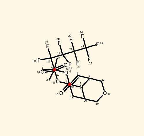 CC(C)(C)OC(=O)N1C2C=C(OS(=O)(=O)C(F)(F)C(F)(F)C(F)(F)C(F)(F)F)CC1COC2